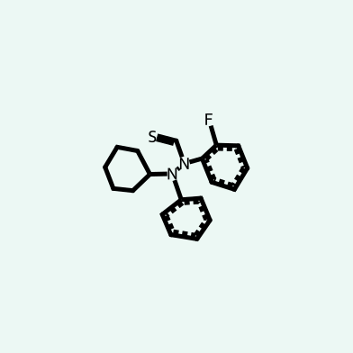 Fc1ccccc1N(C=S)N(c1ccccc1)C1CCCCC1